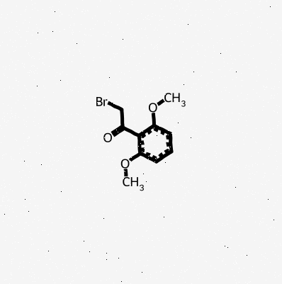 COc1cccc(OC)c1C(=O)CBr